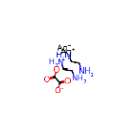 NCCN.NCCN.O=C([O-])C(=O)[O-].[Ag+].[Ag+]